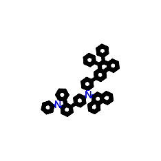 c1ccc(-c2c(-c3ccccc3)c3cc(-c4cccc(N(c5ccc(-c6cccc7c6c6ccccc6n7-c6ccccc6)cc5)c5cc6ccccc6c6ccccc56)c4)ccc3c3ccccc23)cc1